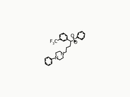 O=S(=O)(c1ccccc1)C(CCCN1CCN(c2ccccc2)CC1)c1cccc(C(F)(F)F)c1